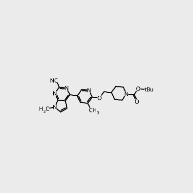 Cc1cc(-c2nc(C#N)nc3c2ccn3C)cnc1OCC1CCN(C(=O)OC(C)(C)C)CC1